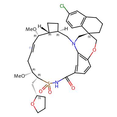 CO[C@H]1/C=C/C[C@@H](OC)[C@@H](C[C@@H]2CCCO2)S(=O)(=O)NC(=O)c2ccc3c(c2)N(C[C@@H]2CC[C@H]21)C[C@@]1(CCCc2cc(Cl)ccc21)CO3